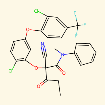 CCC(=O)C(C#N)(Oc1cc(Oc2ccc(C(F)(F)F)cc2Cl)ccc1Cl)C(=O)N(C)c1ccccc1